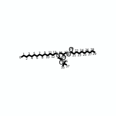 CCCCCCCCCCCCCCN(CCCOC(=O)CCCCCCCCC)CC(=O)OC(C)(C)C